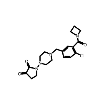 O=C1CCN(N2CCN(Cc3ccc(Cl)c(C(=O)N4CCC4)c3)CC2)C1=O